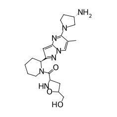 Cc1cn2nc([C@@H]3CCCCN3C(=O)C3CC(CO)ON3)cc2nc1N1CC[C@H](N)C1